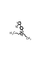 CCCCc1nc(CCCC)n(Cc2ccc(-c3cccnc3C#N)cc2)n1